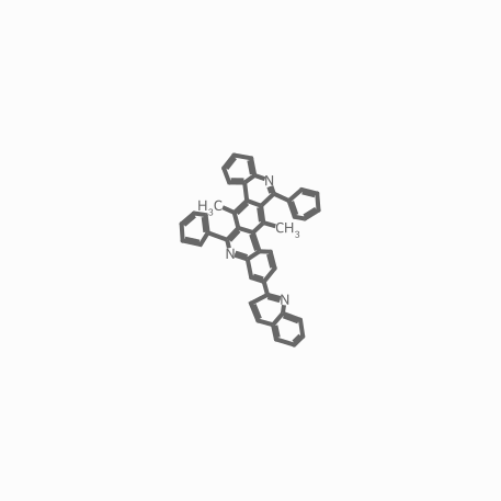 Cc1c2c(-c3ccccc3)nc3cc(-c4ccc5ccccc5n4)ccc3c2c(C)c2c(-c3ccccc3)nc3ccccc3c12